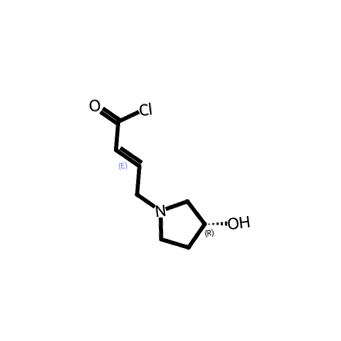 O=C(Cl)/C=C/CN1CC[C@@H](O)C1